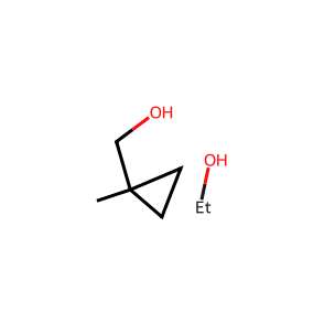 CC1(CO)CC1.CCO